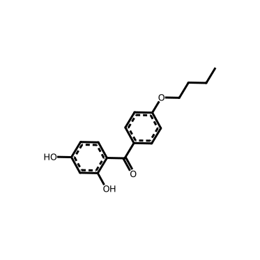 CCCCOc1ccc(C(=O)c2ccc(O)cc2O)cc1